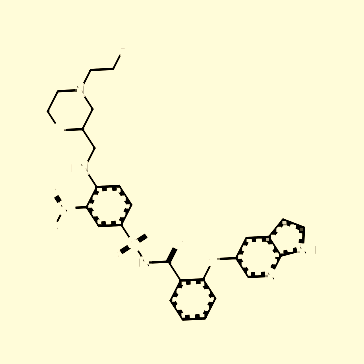 O=C(NS(=O)(=O)c1ccc(NCC2CN(CCF)CCO2)c([N+](=O)[O-])c1)c1ccccc1Oc1cnc2[nH]ccc2c1